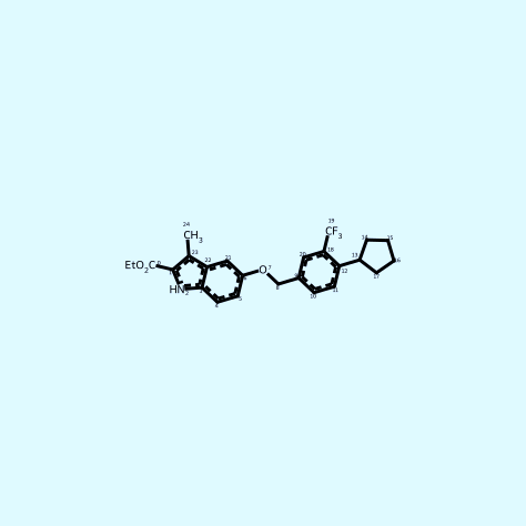 CCOC(=O)c1[nH]c2ccc(OCc3ccc(C4CCCC4)c(C(F)(F)F)c3)cc2c1C